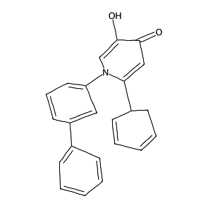 O=c1cc(C2C=CC=CC2)n(-c2cccc(-c3ccccc3)c2)cc1O